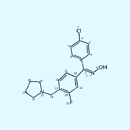 O/N=C(\c1ccc(Cl)cc1)c1ccc(CN2CCCC2)c(F)c1